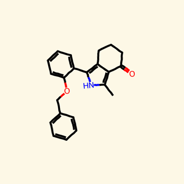 Cc1[nH]c(-c2ccccc2OCc2ccccc2)c2c1C(=O)CCC2